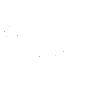 CCOC(=O)CC(=O)CC(C)(C)NC(=O)OCc1ccccc1